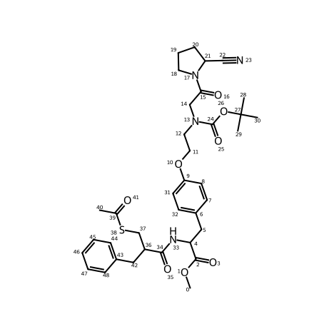 COC(=O)C(Cc1ccc(OCCN(CC(=O)N2CCCC2C#N)C(=O)OC(C)(C)C)cc1)NC(=O)C(CSC(C)=O)Cc1ccccc1